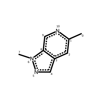 Cc1cc2cnn(C)c2cn1